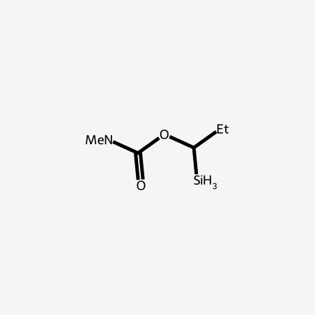 CCC([SiH3])OC(=O)NC